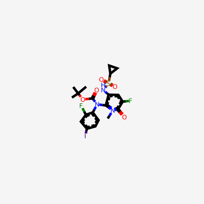 Cn1c(N(C(=O)OC(C)(C)C)c2ccc(I)cc2F)c(NS(=O)(=O)C2CC2)cc(F)c1=O